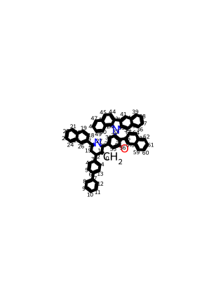 C=C1C(c2ccc(-c3ccccc3)cc2)CC(c2ccc3ccccc3c2)=NC1c1cc(-n2c3cc4ccccc4cc3c3ccc4ccccc4c32)c2c(c1)oc1c3ccccc3ccc12